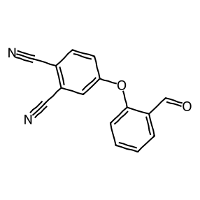 N#Cc1ccc(Oc2ccccc2C=O)cc1C#N